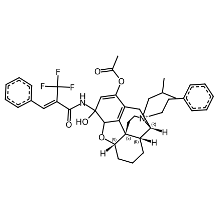 CC(=O)OC1=CC(O)(NC(=O)C(=Cc2ccccc2)C(F)(F)F)C2O[C@H]3CCC[C@H]4[C@H]5CC1=C2[C@@]34CC[N+]5(CCc1ccccc1)CC(C)C